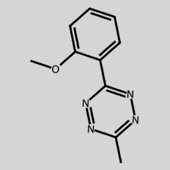 COc1ccccc1-c1nnc(C)nn1